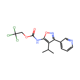 CC(C)c1c(-c2cccnc2)noc1NC(=O)OCC(Cl)(Cl)Cl